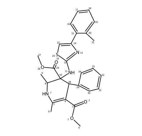 COC(=O)C1=C(C)NC(C)C(Nc2nc(-c3ccccc3C)cs2)(C(=O)OC)C1c1ccccc1